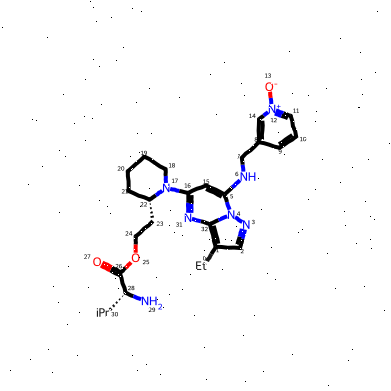 CCc1cnn2c(NCc3ccc[n+]([O-])c3)cc(N3CCCC[C@H]3CCOC(=O)[C@H](N)C(C)C)nc12